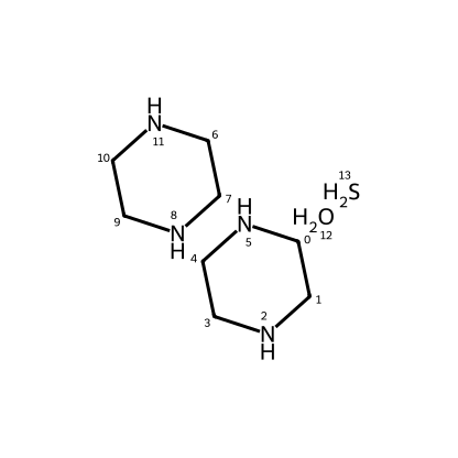 C1CNCCN1.C1CNCCN1.O.S